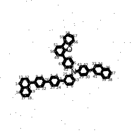 C1=CC(c2ccc(-c3ccc(-c4cccc5ccccc45)cc3)cc2)CC(N(c2ccc(-c3ccc4ccccc4c3)cc2)c2ccc(-c3cccc4c3oc3ccccc34)cc2)=C1